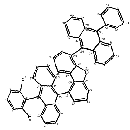 Fc1cccc(F)c1-c1c2ccccc2c(-c2cccc3oc4c(-c5c6ccccc6c(-c6ccccc6)c6ccccc56)cccc4c23)c2ccccc12